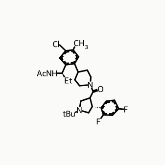 CC[C@@H](NC(C)=O)c1cc(Cl)c(C)cc1C1CCN(C(=O)C2CN(C(C)(C)C)C[C@H]2c2ccc(F)cc2F)CC1